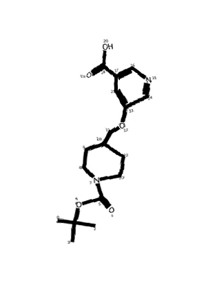 CC(C)(C)OC(=O)N1CCC(COc2cncc(C(=O)O)c2)CC1